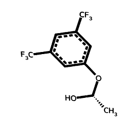 C[C@H](O)Oc1cc(C(F)(F)F)cc(C(F)(F)F)c1